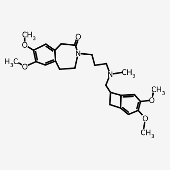 COc1cc2c(cc1OC)CC(=O)N(CCCN(C)CC1Cc3cc(OC)c(OC)cc31)CC2